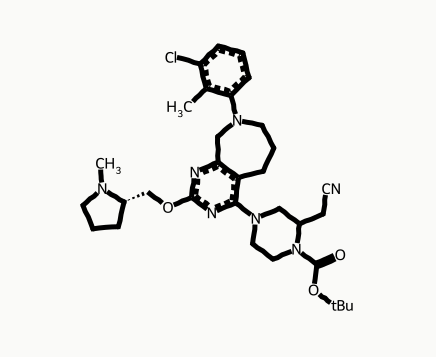 Cc1c(Cl)cccc1N1CCCc2c(nc(OC[C@@H]3CCCN3C)nc2N2CCN(C(=O)OC(C)(C)C)C(CC#N)C2)C1